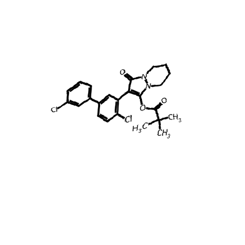 CC(C)(C)C(=O)Oc1c(-c2cc(-c3cccc(Cl)c3)ccc2Cl)c(=O)n2n1CCCC2